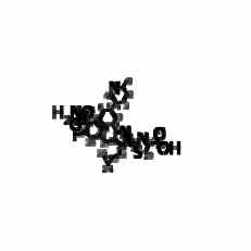 Cc1ccc(-c2cccc(-c3nn(-c4nc(C(=O)O)cs4)c(CC4CC4)c3Cc3ccc(S(N)(=O)=O)c(F)c3)c2)cn1